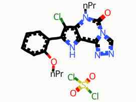 CCCOc1ccccc1-c1[nH]c2c(c1Cl)n(CCC)c(=O)n1cnnc21.O=S(=O)(Cl)Cl